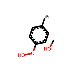 CC(C)c1ccc(OO)cc1.CO